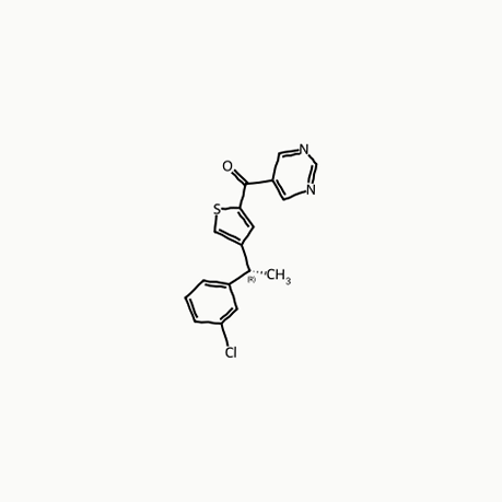 C[C@H](c1cccc(Cl)c1)c1csc(C(=O)c2cncnc2)c1